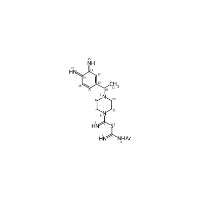 CC(=O)NC(=N)SC(=N)N1CCN(C(C)C2=CC(=N)C(=N)C=C2)CC1